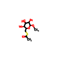 CO[C@H]1OC(CSC(C)=O)[C@@H](O)C(O)C1O